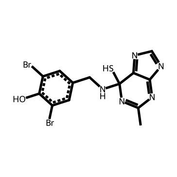 CC1=NC(S)(NCc2cc(Br)c(O)c(Br)c2)C2=NC=NC2=N1